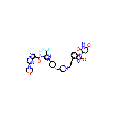 Cn1c(=O)n(C2CCC(=O)NC2=O)c2cccc(C#CCN3CCC(C[C@H]4CC[C@H](n5cc(NC(=O)c6cnn7ccc(N8CCOCC8)nc67)c(C(F)F)n5)CC4)CC3)c21